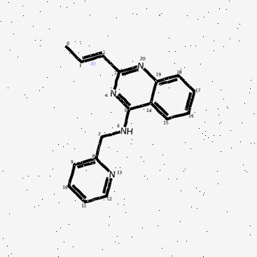 C/C=C/c1nc(NCc2ccccn2)c2ccccc2n1